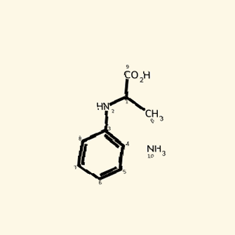 CC(Nc1ccccc1)C(=O)O.N